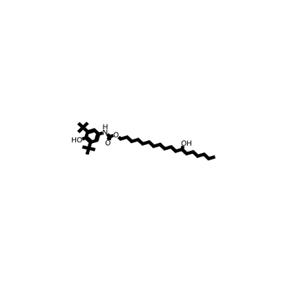 CCCCCCC(O)CCCCCCCCCCCOC(=O)Nc1cc(C(C)(C)C)c(O)c(C(C)(C)C)c1